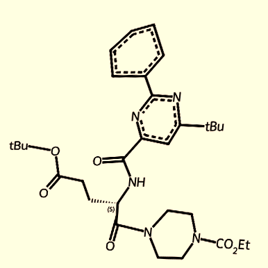 CCOC(=O)N1CCN(C(=O)[C@H](CCC(=O)OC(C)(C)C)NC(=O)c2cc(C(C)(C)C)nc(-c3ccccc3)n2)CC1